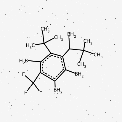 Bc1c(B)c(C(F)(F)F)c(B)c(C(C)(C)C)c1C(B)C(C)(C)C